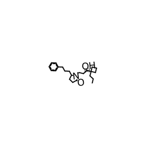 CCCC1([C@@H](O)CCN2C(=O)CCC2CCCc2ccccc2)CCC1